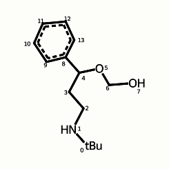 CC(C)(C)NCCC(OCO)c1ccccc1